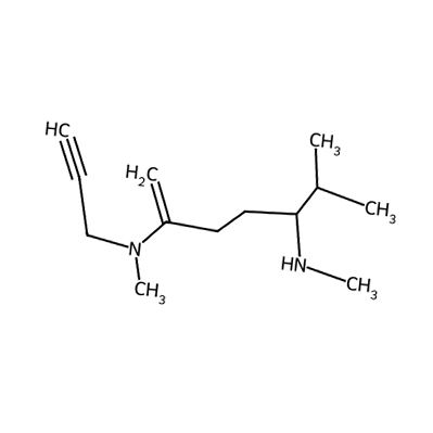 C#CCN(C)C(=C)CCC(NC)C(C)C